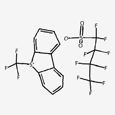 FC(F)(F)[s+]1c2ccccc2c2ccccc21.O=S(=O)([O-])C(F)(F)C(F)(F)C(F)(F)C(F)(F)F